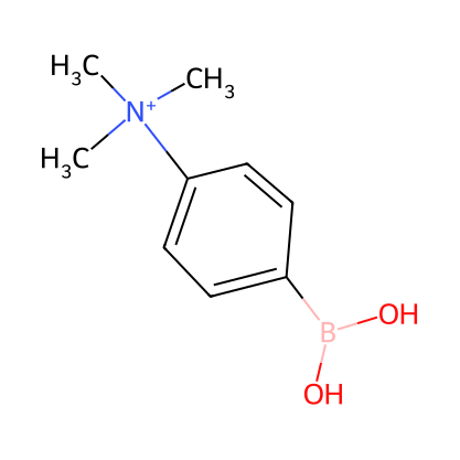 C[N+](C)(C)c1ccc(B(O)O)cc1